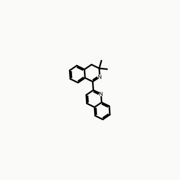 CC1(C)Cc2ccccc2C(c2ccc3ccccc3n2)=N1